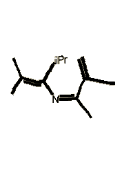 C=C(C)/C(C)=N\C(=C(C)C)C(C)C